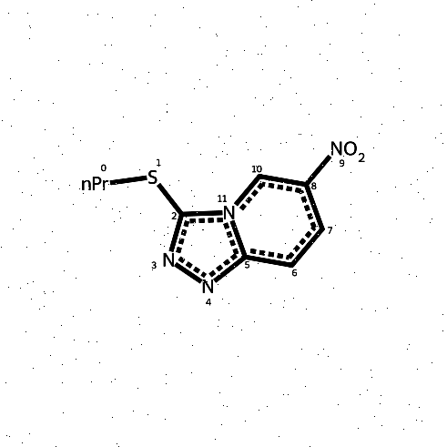 CCCSc1nnc2ccc([N+](=O)[O-])cn12